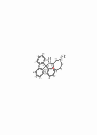 CCN1CCCCC(NC(c2ccccc2)(c2ccccc2)c2ccccc2)C1